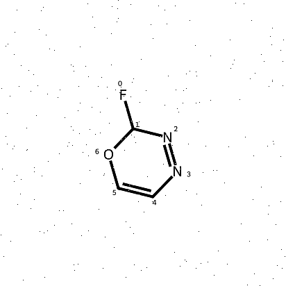 FC1N=NC=CO1